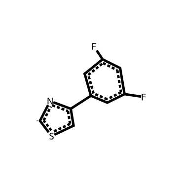 Fc1cc(F)cc(-c2cs[c]n2)c1